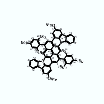 COc1cc2c3c(c1)-c1cc(-c4c(C(C)(C)C)cc(C(C)(C)C)cc4C(C)(C)C)c4cc5c6c(cc(-c7c(C(C)(C)C)cc(C(C)(C)C)cc7C(C)(C)C)c7cc(c1c4c76)B3c1ccccc1-2)-c1cc(OC)cc2c1B5c1ccccc1-2